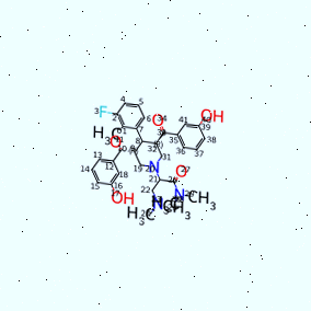 Cc1c(F)cccc1C1[C@@H](C(=O)c2cccc(O)c2)CN(C(CN(C)C)C(=O)N(C)C)C[C@@H]1C(=O)c1cccc(O)c1